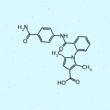 Cc1cc(C(=O)O)c(C)n1-c1ccccc1C(=O)Nc1ccc(C(N)=O)cc1